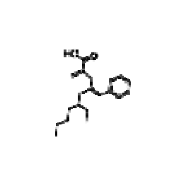 C=C(CC(=Cc1ccccc1)CC(CC)CCCC)C(=O)O